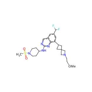 COCCN1CC2(CC(c3cc(C(F)F)cc4cnc(NC5CCN(S(C)(=O)=O)CC5)nc34)C2)C1